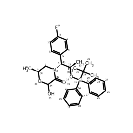 C[C@H]1CN([C@H](c2ccc(F)cc2)[C@@H](C)O[Si](c2ccccc2)(c2ccccc2)C(C)(C)C)C(=O)C(O)O1